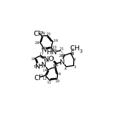 C[C@@H]1CCCN(C(=O)c2cccc(Cl)c2-n2nccn2)[C@@H]1CNc1ccc(Cl)cn1